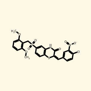 COc1cccc(OC)c1CS(=O)(=O)c1ccc2c(c1)NC(=O)/C(=C\c1ccc(Cl)c([N+](=O)[O-])c1)S2